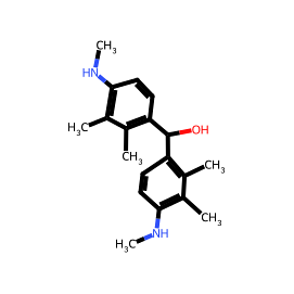 CNc1ccc(C(O)c2ccc(NC)c(C)c2C)c(C)c1C